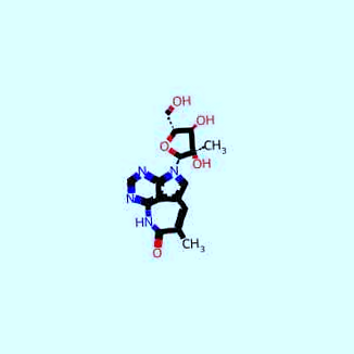 CC1=Cc2cn([C@@H]3O[C@H](CO)[C@@H](O)[C@@]3(C)O)c3ncnc(c23)NC1=O